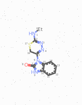 CCNC1=NN=C(n2c(=O)[nH]c3ccccc32)CS1